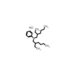 CCCCC(CC)CN(CC(CC)CCCC)c1ccccc1.Cl